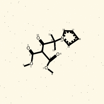 COC(=O)C(C(=O)OC)C(=O)C(C)(C)n1cccc1